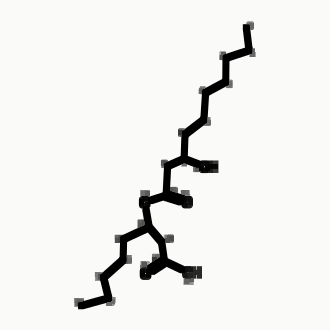 CCCCCCCC(O)CC(=O)OC(CCCCC)CC(=O)O